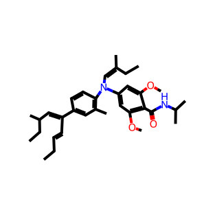 CC/C=C/C(=C\C(C)CC)c1ccc(N(/C=C(/C)CC)c2cc(OC)c(C(=O)NC(C)C)c(OC)c2)c(C)c1